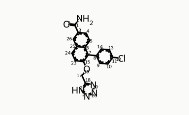 NC(=O)c1ccc2c(-c3ccc(Cl)cc3)c(OCc3nnn[nH]3)ccc2c1